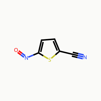 N#Cc1ccc(N=O)s1